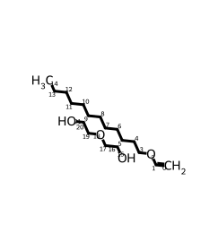 C=COCCCCCCCCCCCC.OCCOCCO